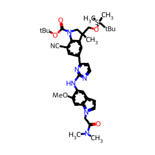 COc1cc2c(ccn2CC(=O)N(C)C)cc1Nc1nccc(-c2cc(C#N)c3c(c2)C(C)(CO[Si](C)(C)C(C)(C)C)CN3C(=O)OC(C)(C)C)n1